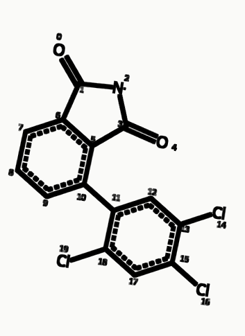 O=C1[N]C(=O)c2c1cccc2-c1cc(Cl)c(Cl)cc1Cl